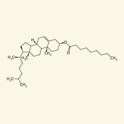 CCCCCCCCC(=O)O[C@H]1CC[C@@]2(C)C(=CC[C@@H]3C2CC[C@@]2(C)C3CC[C@@H]2[C@H](C)CCCC(C)C)C1